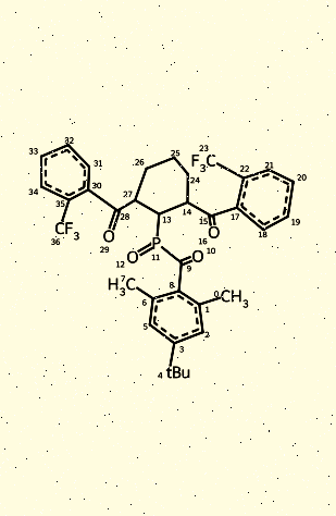 Cc1cc(C(C)(C)C)cc(C)c1C(=O)[P](=O)C1C(C(=O)c2ccccc2C(F)(F)F)CCCC1C(=O)c1ccccc1C(F)(F)F